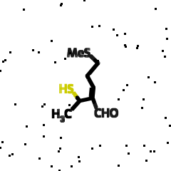 CSCCC=C(C=O)C(C)S